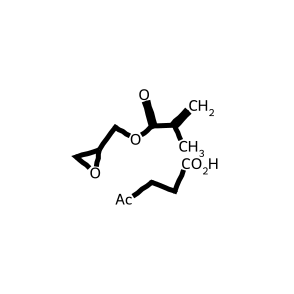 C=C(C)C(=O)OCC1CO1.CC(=O)CCC(=O)O